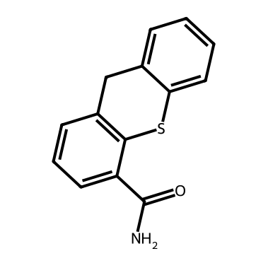 NC(=O)c1cccc2c1Sc1ccccc1C2